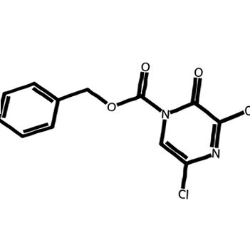 O=C(OCc1ccccc1)n1cc(Cl)nc(Cl)c1=O